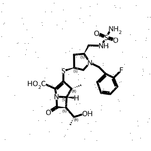 C[C@@H](O)[C@H]1C(=O)N2C(C(=O)O)=C(S[C@H]3C[C@@H](CNS(N)(=O)=O)N(Cc4ccccc4F)C3)[C@H](C)[C@H]12